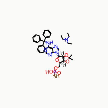 CC1(C)O[C@@H]2[C@H](O1)[C@@H](COP(=O)(O)S)O[C@H]2n1cnc2c(NC(c3ccccc3)(c3ccccc3)c3ccccc3)ncnc21.CCN(CC)CC